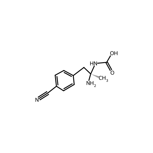 C[C@](N)(Cc1ccc(C#N)cc1)NC(=O)O